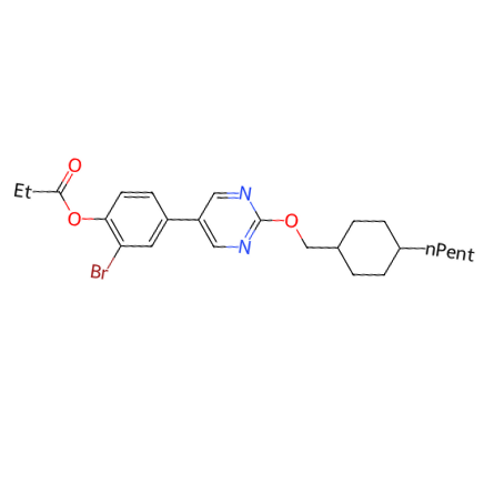 CCCCCC1CCC(COc2ncc(-c3ccc(OC(=O)CC)c(Br)c3)cn2)CC1